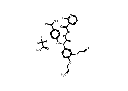 C=CCOc1ccc(C(Nc2ccc(C(=N)N)cc2)C(=O)NNC(=O)c2cccnc2F)cc1OCC=C.O=C(O)C(F)(F)F